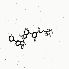 CN(C)CCNc1cc(F)cc(-c2cncc3[nH]c(-c4n[nH]c5cnc(-c6cnccn6)cc45)cc23)c1